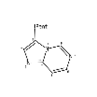 CCCC(C)c1cnc2ccncn12